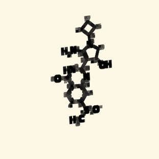 C[S+]([O-])c1ccc2c(=O)[nH]c(C3=C(N)N(C4CCC4)CC3O)nc2c1